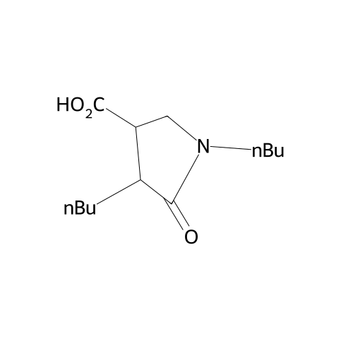 CCCCC1C(=O)N(CCCC)CC1C(=O)O